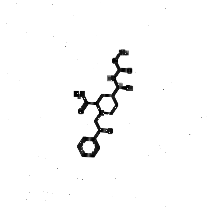 CC[C@H](NC(=O)OC(C)(C)C)C1CCN(CC(=O)c2ccccc2)C(C(N)=O)C1